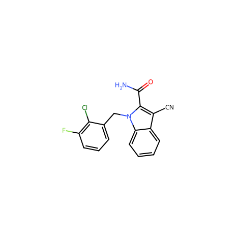 N#Cc1c(C(N)=O)n(Cc2cccc(F)c2Cl)c2ccccc12